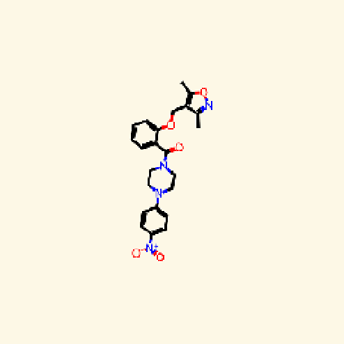 Cc1noc(C)c1COc1ccccc1C(=O)N1CCN(c2ccc([N+](=O)[O-])cc2)CC1